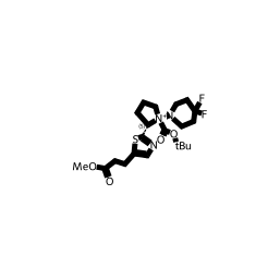 COC(=O)CCc1cnc([C@@H]2CCC[N+]2(C(=O)OC(C)(C)C)N2CCC(F)(F)CC2)s1